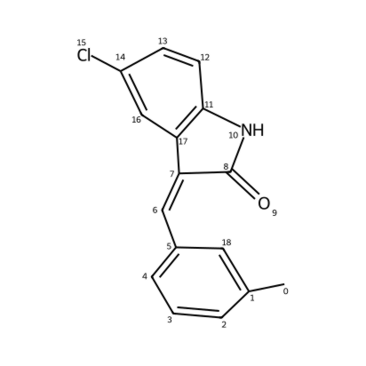 Cc1cccc(C=C2C(=O)Nc3ccc(Cl)cc32)c1